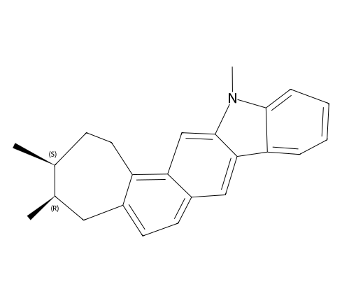 C[C@@H]1Cc2ccc3cc4c5ccccc5n(C)c4cc3c2CC[C@@H]1C